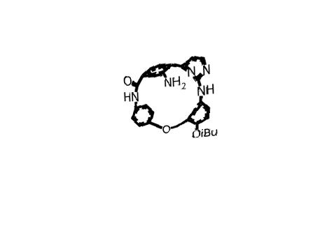 CC(C)COc1ccc2cc1COc1ccc(cc1)NC(=O)c1ccc(c(N)c1)-c1ccnc(n1)N2